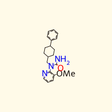 COc1cccnc1N(CC1CCC(c2ccccc2)CC1)C(N)=O